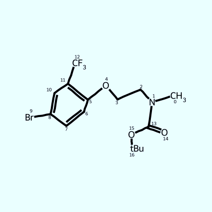 CN(CCOc1ccc(Br)cc1C(F)(F)F)C(=O)OC(C)(C)C